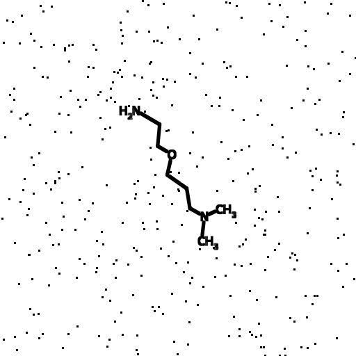 CN(C)CCCOCCN